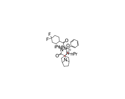 CCCN1C(=O)N(C(C)C)C(=O)C12CC1CCC(C2)N1CC[C@H](NC(=O)C1CCC(F)(F)CC1)c1ccccc1